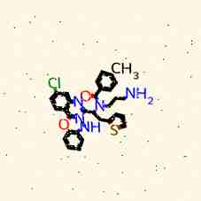 Cc1ccc(C(=O)N(CCCN)C(Cc2cccs2)c2nc3cc(Cl)ccc3c(=O)n2Nc2ccccc2)cc1